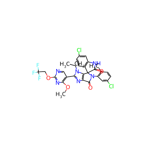 COc1nc(OCC(F)(F)F)ncc1-c1nc2c(n1C(C)C)C1(C(=O)Nc3cc(Cl)ccc31)N(c1cc(Cl)ccc1C)C2=O